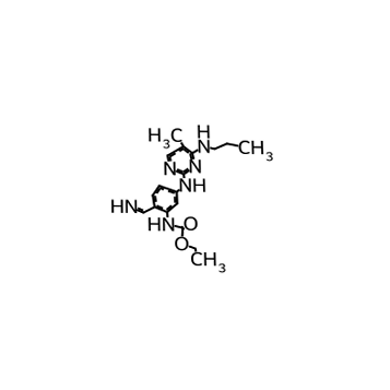 CCCNc1nc(Nc2ccc(C=N)c(NC(=O)OCC)c2)ncc1C